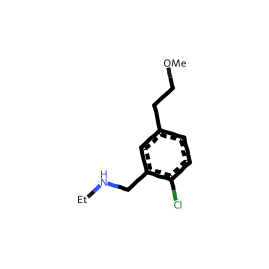 CCNCc1cc(CCOC)ccc1Cl